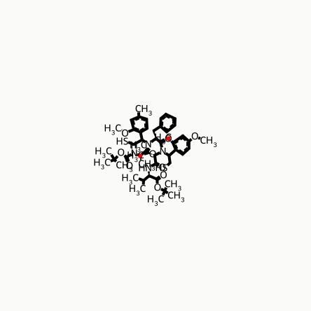 COc1ccc(C(CS)N(C(=O)[C@H](Cc2ccccc2)N(C(=O)[C@H](C)NC(=O)OC(C)(C)C)C(CS)c2ccc(C)cc2OC)[C@H](C(=O)N[C@@H](C(=O)OC(C)(C)C)C(C)C)C(C)C)c(C)c1